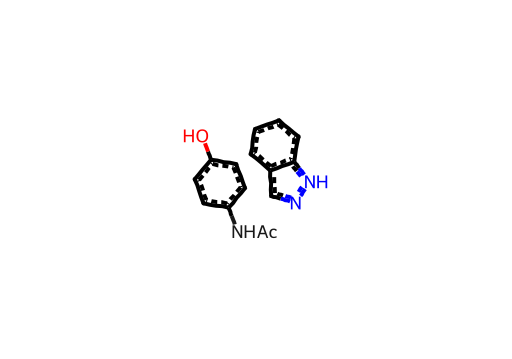 CC(=O)Nc1ccc(O)cc1.c1ccc2[nH]ncc2c1